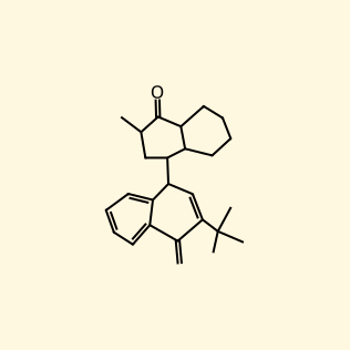 C=C1C(C(C)(C)C)=CC(C2CC(C)C(=O)C3CCCCC32)c2ccccc21